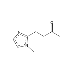 CC(=O)CCc1nccn1C